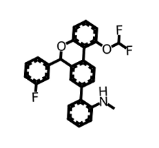 CNc1ccccc1-c1ccc2c(c1)C(c1cccc(F)c1)Oc1cccc(OC(F)F)c1-2